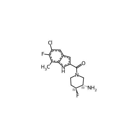 Cc1c(F)c(Cl)cc2cc(C(=O)N3CC[C@H](F)[C@@H](N)C3)[nH]c12